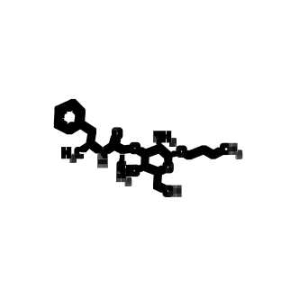 CCCCO[C@@H]1OC(CO)[C@@H](O)C(O[C@H](C)C(=O)N[C@@H](C)Cc2ccccc2)[C@@H]1N